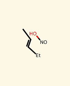 C/C=C/CC.O=NO